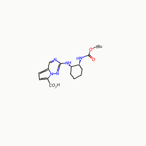 CC(C)(C)OC(=O)N[C@H]1CCCC[C@H]1Nc1ncc2ccc(C(=O)O)n2n1